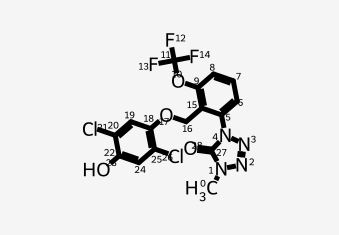 Cn1nnn(-c2cccc(OC(F)(F)F)c2COc2cc(Cl)c(O)cc2Cl)c1=O